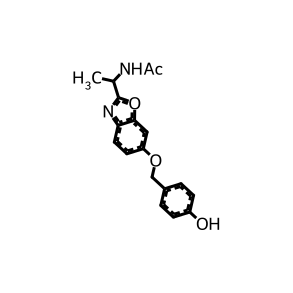 CC(=O)NC(C)c1nc2ccc(OCc3ccc(O)cc3)cc2o1